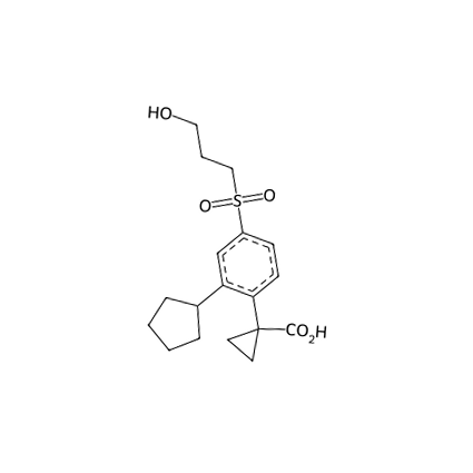 O=C(O)C1(c2ccc(S(=O)(=O)CCCO)cc2C2CCCC2)CC1